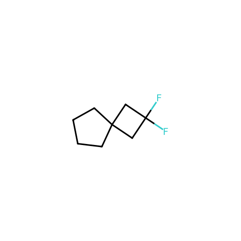 FC1(F)CC2(CCCC2)C1